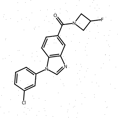 O=C(c1ccc2c(c1)ncn2-c1cccc(Cl)c1)N1CC(F)C1